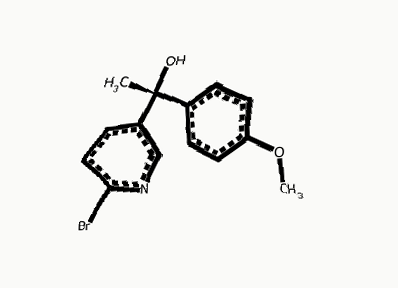 COc1ccc([C@@](C)(O)c2ccc(Br)nc2)cc1